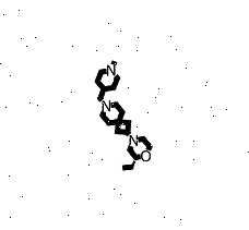 CC[C@H]1CN(C2CC3(CCN(CC4CCN(C)CC4)CC3)C2)CCO1